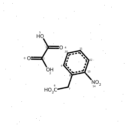 O=C(O)C(=O)O.O=C(O)Cc1ccccc1[N+](=O)[O-]